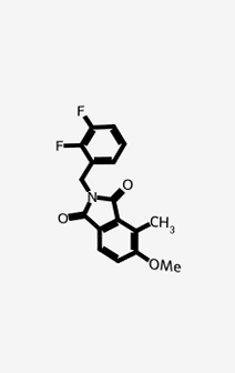 COc1ccc2c(c1C)C(=O)N(Cc1cccc(F)c1F)C2=O